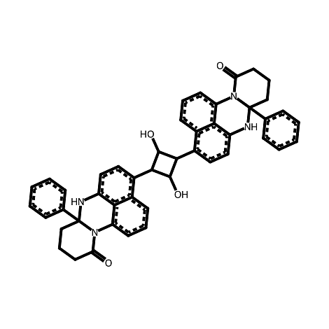 O=C1CCCC2(c3ccccc3)Nc3ccc(C4C(O)C(c5ccc6c7c(cccc57)N5C(=O)CCCC5(c5ccccc5)N6)C4O)c4cccc(c34)N12